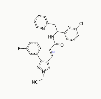 N#CCn1cc(/C=C/C(=O)NC(Cc2ccccn2)c2cccc(Cl)n2)c(-c2cccc(F)c2)n1